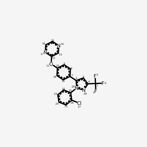 FC(F)(F)c1cc(-c2ccc(Oc3cnccn3)cc2)n(-c2ccccc2Cl)n1